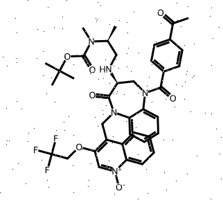 CC(=O)c1ccc(C(=O)N2C[C@H](NC[C@H](C)N(C)C(=O)OC(C)(C)C)C(=O)N(Cc3c(OCC(F)(F)F)c[n+]([O-])c4ccccc34)c3ccccc32)cc1